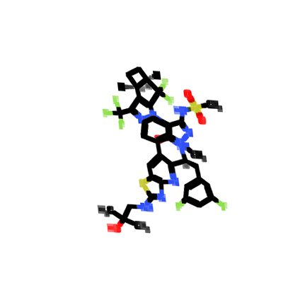 Cn1nc(NS(C)(=O)=O)c2cccc(-c3cc4sc(NCC(C)(C)O)nc4nc3[C@H](Cc3cc(F)cc(F)c3)NC(=O)Cn3nc(C(F)(F)F)c4c3C(F)(F)[C@@H]3CC[C@H]43)c21